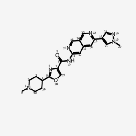 CN1CCC(c2nc(C(=O)Nc3cc4cc(-c5cnn(C)c5)ncc4cn3)co2)CC1